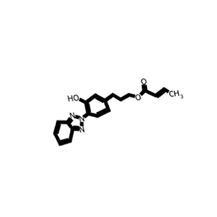 CC=CC(=O)OCCCc1ccc(-n2nc3ccccc3n2)c(O)c1